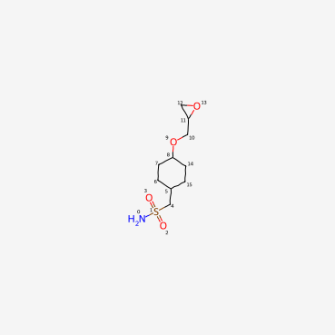 NS(=O)(=O)CC1CCC(OCC2CO2)CC1